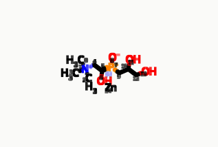 C[N+](C)(C)C/C(O)=[P+](\[O-])CC(O)CO.[Zn]